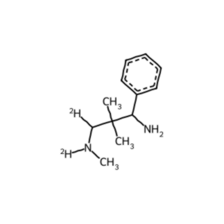 [2H]C(N([2H])C)C(C)(C)C(N)c1ccccc1